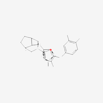 Cc1noc(N2C[C@H]3CC[C@@H](C2)[C@H]3Nc2nc(Oc3ccc(Cl)c(C(F)(F)F)c3)n(C(C)C)n2)n1